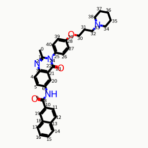 Cc1nc2ccc(NC(=O)c3ccc4ccccc4c3)cc2c(=O)n1-c1ccc(OCCCN2CCCCC2)cc1